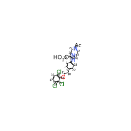 CC(=O)N1CC2CC(c3ccc(CCOc4c(Cl)ccc(Cl)c4Cl)cc3)=C(C(=O)O)C(C1)N2